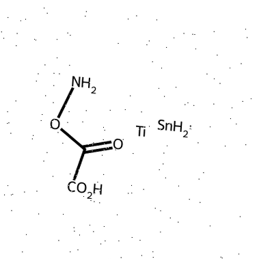 NOC(=O)C(=O)O.[SnH2].[Ti]